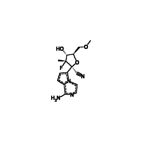 COC[C@H]1O[C@@](C#N)(c2ccc3c(N)nccn23)[C@](C)(F)[C@@H]1O